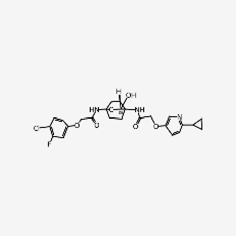 O=C(COc1ccc(Cl)c(F)c1)NC12CCC(NC(=O)COc3ccc(C4CC4)nc3)(CC1)[C@@H](O)C2